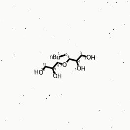 CCCCC.OCC(O)COCC(O)CO